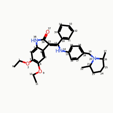 CCOc1cc2c(cc1OCC)C(=C(Nc1ccc(CN3C(C)CCCC3C)cc1)c1ccccc1)C(=O)N2